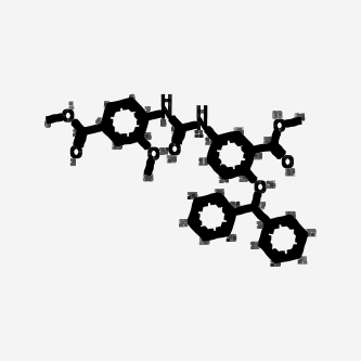 COC(=O)c1ccc(NC(=O)Nc2ccc(OC(c3ccccc3)c3ccccc3)c(C(=O)OC)c2)c(OC)c1